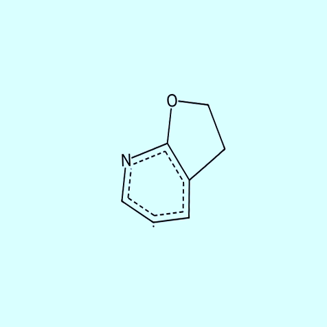 [c]1cnc2c(c1)CCO2